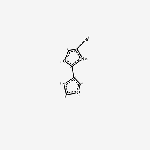 Brc1coc(-c2cocn2)n1